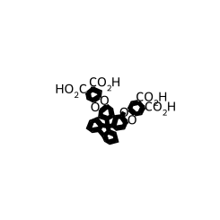 O=C(O)c1cc2c(cc1C(=O)O)Oc1cc(C3(c4ccc5c(c4)Oc4cc(C(=O)O)c(C(=O)O)cc4O5)c4ccccc4-c4ccccc43)ccc1O2